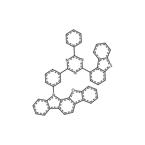 c1ccc(-c2nc(-c3cccc(-n4c5ccccc5c5ccc6c7ccccc7oc6c54)c3)nc(-c3cccc4sc5ccccc5c34)n2)cc1